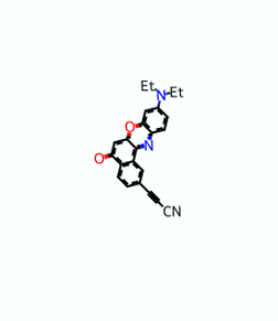 CCN(CC)c1ccc2nc3c4cc(C#CC#N)ccc4c(=O)cc-3oc2c1